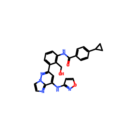 O=C(Nc1cccc(-c2cc(Nc3ccon3)c3nccn3n2)c1CO)c1ccc(C2CC2)cc1